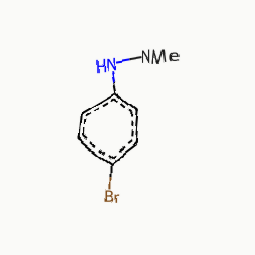 CNNc1ccc(Br)cc1